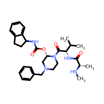 CN[C@@H](C)C(=O)N[C@H](C(=O)N1CCN(Cc2ccccc2)C[C@@H]1OC(=O)NC1CCc2ccccc21)C(C)C